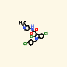 Cc1cc(NC(=O)C(=O)c2c(Cl)n(Cc3ccc(Cl)cc3)c3ccc(Cl)cc23)ccn1